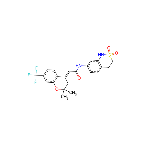 CC1(C)CC(=CC(=O)Nc2ccc3c(c2)NS(=O)(=O)CC3)c2ccc(C(F)(F)F)cc2O1